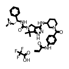 C=CC(=O)Nc1ccc(C(=O)N2CCCC(Nc3n[nH]c4c3CN(C(=O)N[C@H](CN(C)C)c3ccccc3)C4(C)C)C2)cc1.O=C(O)C(F)(F)F